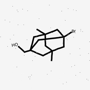 CC12CC3(C)CC(Br)(C1)CC(CO)(C2)C3